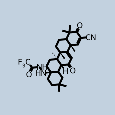 CC1(C)CC[C@]2(NNC(=O)C(F)(F)F)CC[C@]3(C)[C@H](C(=O)C=C4[C@@]5(C)C=C(C#N)C(=O)C(C)(C)C5CC[C@]43C)C2C1